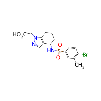 Cc1cc(S(=O)(=O)NC2CCCc3c2cnn3CC(=O)O)ccc1Br